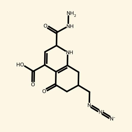 [N-]=[N+]=NCC1CC(=O)C2=C(C1)NC(C(=O)NN)C=C2C(=O)O